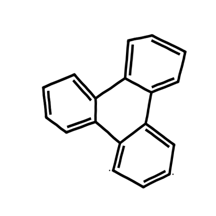 [c]1c[c]c2c(c1)c1ccccc1c1ccccc21